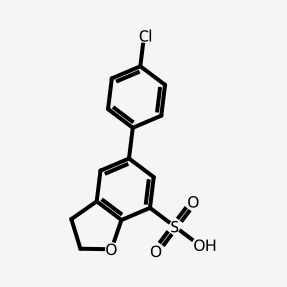 O=S(=O)(O)c1cc(-c2ccc(Cl)cc2)cc2c1OCC2